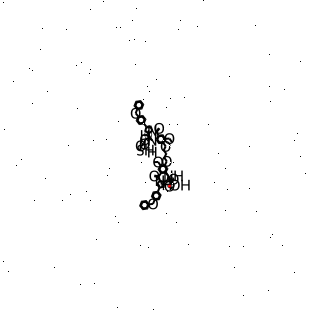 COc1cc2c(cc1OCCCOc1cc3c(cc1OC)C(=O)N1C=C(c4ccc(Oc5ccccc5)cc4)C[C@H]1C(S(=O)(=O)O)N3)NC(OOOS)[C@@H]1CC(c3ccc(Oc4ccccc4)cc3)=CN1C2=O